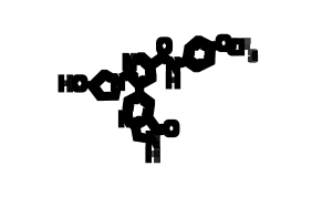 O=C(Nc1ccc(OC(F)(F)F)cc1)c1cnc(N2CC[C@@H](O)C2)c(-c2cnc3c(c2)C(=O)NC3)c1